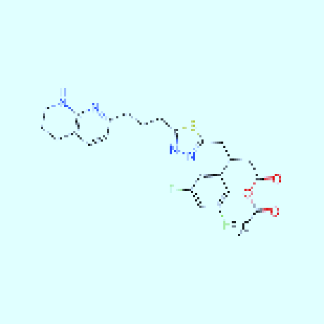 O=C(CC(Cc1nnc(CCCc2ccc3c(n2)NCCC3)s1)c1cc(F)cc(F)c1)OC(=O)C(F)(F)F